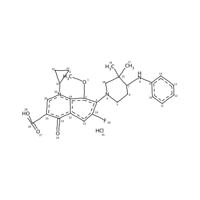 COc1c(N2CCC(Nc3ccccc3)C(C)(C)C2)c(F)cc2c(=O)c(C(=O)O)cn(C3CC3)c12.Cl